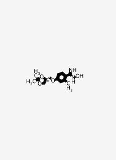 Cc1cc(OC[C@@H]2COC(C)(C)O2)ccc1C(=N)NO